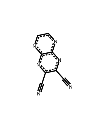 N#Cc1nc2nccnc2nc1C#N